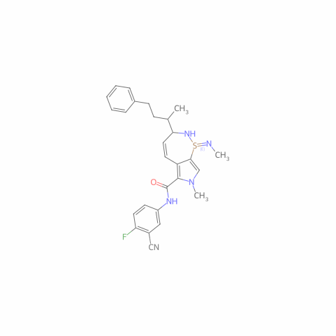 C/N=S1/NC(C(C)CCc2ccccc2)C=Cc2c1cn(C)c2C(=O)Nc1ccc(F)c(C#N)c1